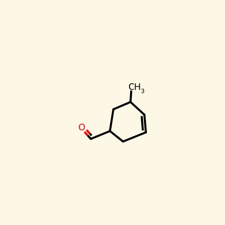 CC1C=CCC(C=O)C1